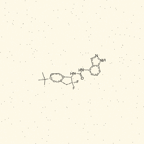 CC(C)(C)c1ccc2c(c1)CC(F)(F)C2NC(=O)Nc1cccc2[nH]ncc12